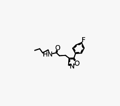 CCCCNC(=O)CCc1cnoc1-c1ccc(F)cc1